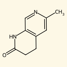 Cc1cc2c(cn1)NC(=O)CC2